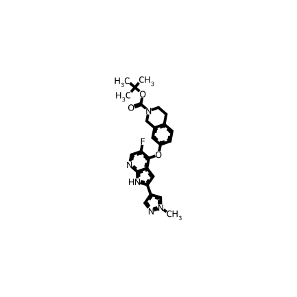 Cn1cc(-c2cc3c(Oc4ccc5c(c4)CN(C(=O)OC(C)(C)C)CC5)c(F)cnc3[nH]2)cn1